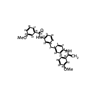 C=C(Nc1ccc(Cc2cccc(NC(=O)c3cccc(OC)c3)c2)cc1)c1cccc(OC)c1